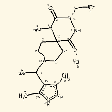 CCCCN1C(=O)[C@H](CC(C)C)NC(=O)C12CCN(C(c1c(C)n[nH]c1C)C(C)(C)C)CC2.Cl